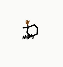 CC1(Br)CCCCC1.[MgH2]